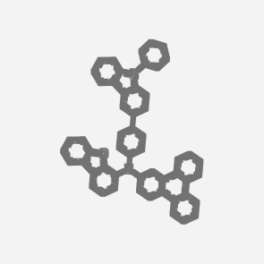 c1ccc(-n2c3ccccc3c3cc(-c4ccc(N(c5ccc6c7ccccc7c7ccccc7c6c5)c5cccc6c5oc5ccccc56)cc4)ccc32)cc1